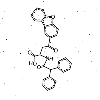 O=C(CC(NC(=O)C(c1ccccc1)c1ccccc1)C(=O)O)c1ccc2oc3ccccc3c2c1